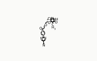 CC[C@@H](COCCC(=O)N1CCN(c2ncc(C#N)cn2)CC1)Oc1cn[nH]c(=O)c1C